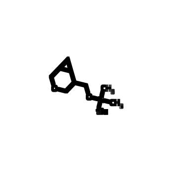 CC(C)(C)[Si](C)(C)OCC1COCC2CC12